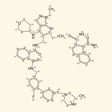 CCc1nc2c(cnn2CC)c(NC2CCOCC2)c1CNC(=O)c1ccccc1C(=O)NCc1ccc(F)c(-c2cccc(CN3CCN[C@@H](C)C3)c2)c1.NC(=O)c1ccc2ccccc2c1C(N)=O